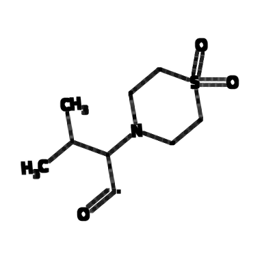 CC(C)C([C]=O)N1CCS(=O)(=O)CC1